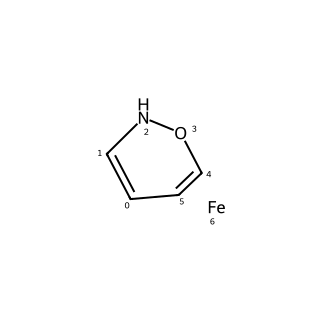 C1=CNOC=C1.[Fe]